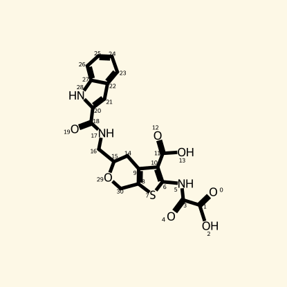 O=C(O)C(=O)Nc1sc2c(c1C(=O)O)CC(CNC(=O)c1cc3ccccc3[nH]1)OC2